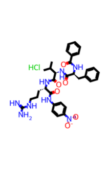 CC(C)[C@H](NC(=O)[C@H](Cc1ccccc1)NC(=O)c1ccccc1)C(=O)N[C@@H](CCCNC(=N)N)C(=O)Nc1ccc([N+](=O)[O-])cc1.Cl